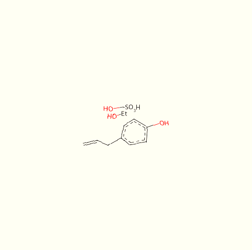 C=CCc1ccc(O)cc1.CCO.O=S(=O)(O)O